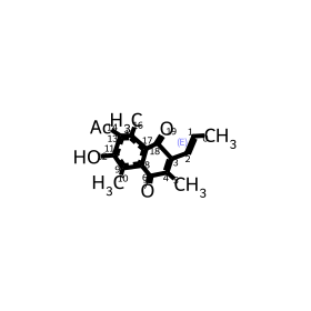 C/C=C/C1=C(C)C(=O)c2c(C)c(O)c(C(C)=O)c(C)c2C1=O